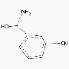 N#Cc1cccc(C(N)O)c1